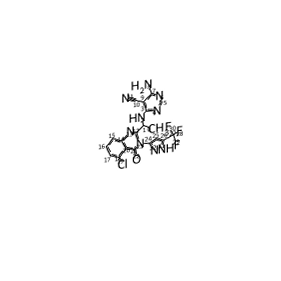 CC(Nc1ncnc(N)c1C#N)c1nc2cccc(Cl)c2c(=O)n1-c1cc(C(F)(F)F)[nH]n1